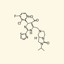 CC(C)N1C[C@H]2CN(CC3=C(C(=O)O)[C@H](c4cccc(F)c4Cl)N=C(c4nccs4)N3)CCN2C1=O